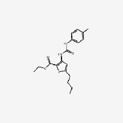 CCCCc1cc(NC(=O)Nc2ccc(C)cc2)c(C(=O)OCC)s1